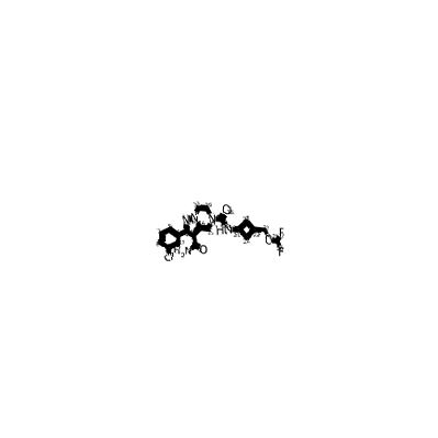 NC(=O)c1c(-c2cccc(Cl)c2)nn2c1CN(C(=O)NC1CC(COC(F)F)C1)CC2